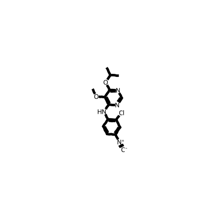 [C-]#[N+]c1ccc(Nc2ncnc(OC(C)C)c2OC)c(Cl)c1